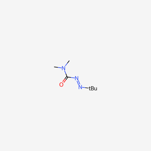 CN(C)C(=O)N=NC(C)(C)C